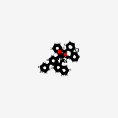 C1=Cc2oc3cccc(-c4nc(-c5ccccc5)nc(-c5cccc6ccccc56)n4)c3c2C(c2ccc(-c3ccc(-c4ccccc4)cc3)cc2)C1